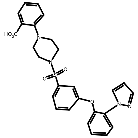 O=C(O)c1ccccc1N1CCN(S(=O)(=O)c2cccc(Oc3ccccc3-n3cccn3)c2)CC1